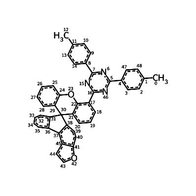 Cc1ccc(-c2nc(-c3ccc(C)cc3)nc(-c3cccc4c3Oc3ccccc3C43c4ccccc4-c4c3ccc3occc43)n2)cc1